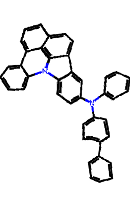 c1ccc(-c2ccc(N(c3ccccc3)c3ccc4c(c3)c3ccc5cccc6c7ccccc7n4c3c56)cc2)cc1